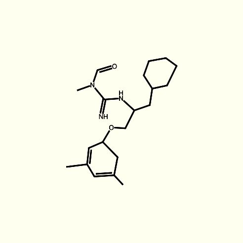 CC1=CC(OCC(CC2CCCCC2)NC(=N)N(C)C=O)CC(C)=C1